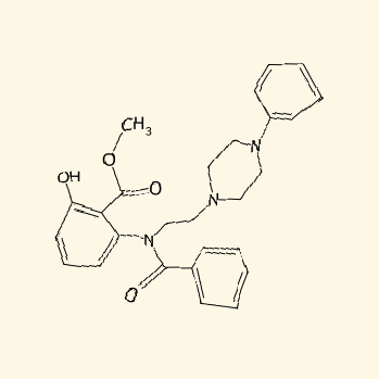 COC(=O)c1c(O)cccc1N(CCN1CCN(c2ccccc2)CC1)C(=O)c1ccccc1